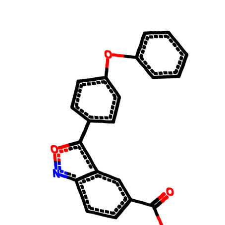 O=C(O)c1ccc2noc(-c3ccc(Oc4ccccc4)cc3)c2c1